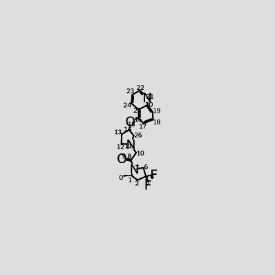 C[C@@H]1CC(F)(F)CN1C(=O)CN1CC[C@H](Oc2cccc3ncccc23)C1